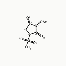 CC(=O)ON1C(=O)CC(S(C)(=O)=O)C1=O